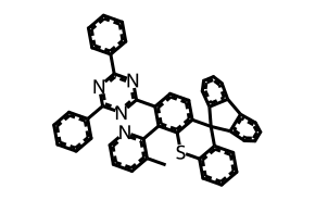 Cc1cccnc1-c1c(-c2nc(-c3ccccc3)nc(-c3ccccc3)n2)ccc2c1Sc1ccccc1C21c2ccccc2-c2ccccc21